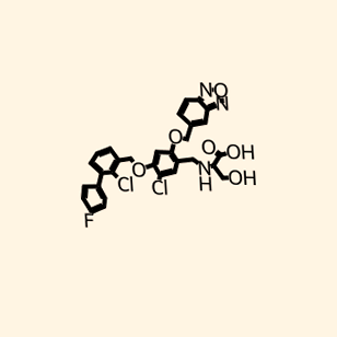 O=C(O)C(CO)NCc1cc(Cl)c(OCc2cccc(-c3ccc(F)cc3)c2Cl)cc1OCc1ccc2nonc2c1